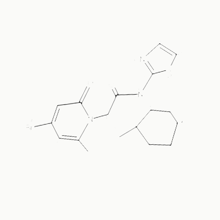 Cc1cc(Br)cc(=O)n1[C@@H](CC1CCCCC1)C(=O)Nc1nccs1